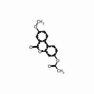 COc1ccc2c(c1)c(=O)oc1cc(OC(C)=O)ccc12